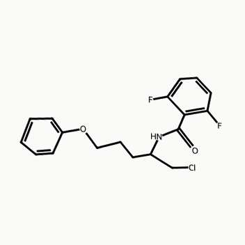 O=C(NC(CCl)CCCOc1ccccc1)c1c(F)cccc1F